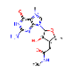 CCCCNC(=O)C[C@@H]1[C@@H](C)OC(n2c[n+](C)c3c(=O)[nH]c(N)nc32)[C@@H]1O